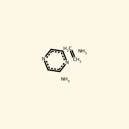 C=C.N.N.c1cnccn1